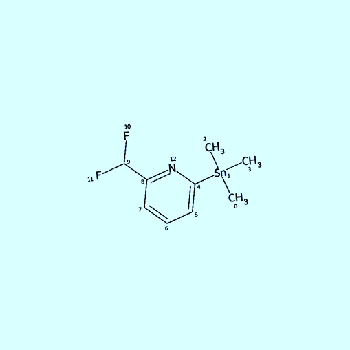 [CH3][Sn]([CH3])([CH3])[c]1cccc(C(F)F)n1